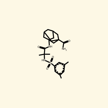 Cc1cc(C)cc(S(=O)(=O)NC(C)(C)C(=O)NC23CC4CC(C2)CC(C(N)=O)(C4)C3)c1